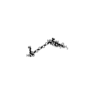 CNC(CCCCN(C)C)C(=O)NCCOCCOCCOCCOCCC(=O)NC(C(=O)NC(CCCNC(N)=O)C(N)=O)C(C)C